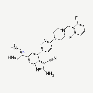 CN/C=C(\C=N)c1cc(-c2ccc(N3CCN(Cc4c(F)cccc4F)CC3)nc2)c2c(C#N)c(N)nn2c1